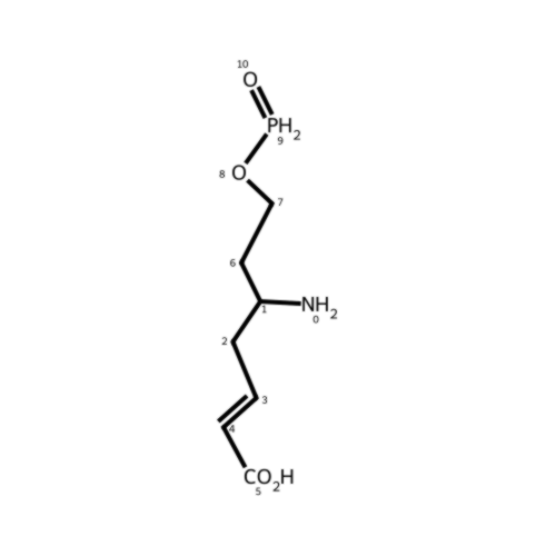 NC(CC=CC(=O)O)CCO[PH2]=O